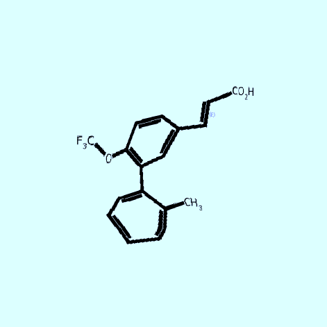 Cc1ccccc1-c1cc(/C=C/C(=O)O)ccc1OC(F)(F)F